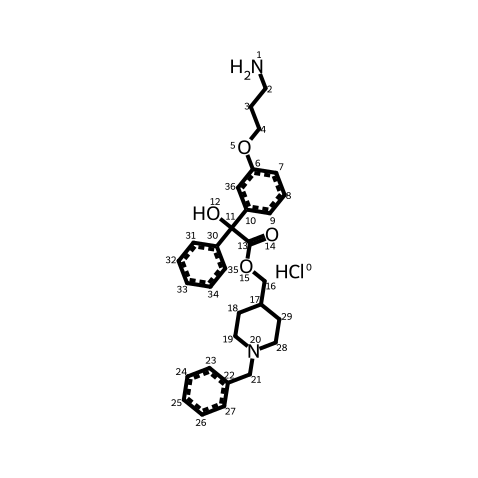 Cl.NCCCOc1cccc(C(O)(C(=O)OCC2CCN(Cc3ccccc3)CC2)c2ccccc2)c1